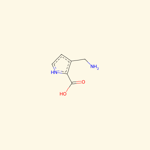 NCc1cc[nH]c1C(=O)O